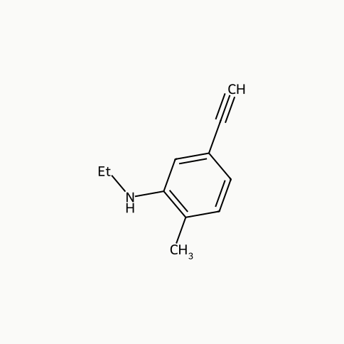 C#Cc1ccc(C)c(NCC)c1